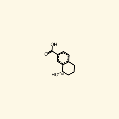 O=C(O)c1ccc2c(c1)[C@@H](O)CCC2